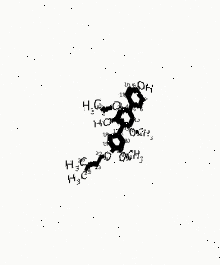 CCOc1c(-c2ccc(O)cc2)cc(OC)c(-c2ccc(OCC=C(C)C)c(OC)c2)c1O